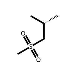 [CH2][C@@H](C)CS(C)(=O)=O